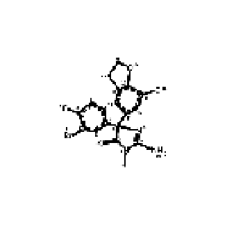 CN1C(=O)C(c2ccc(F)c(Br)c2)(c2cc(Cl)c3c(c2)CCO3)N=C1N